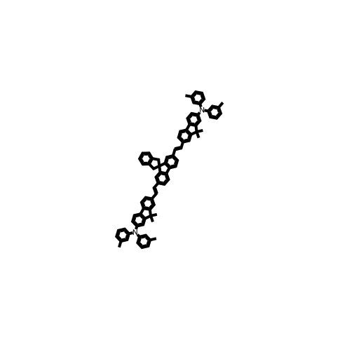 Cc1cccc(N(c2cccc(C)c2)c2ccc3c(c2)C(C)(C)c2cc(/C=C/c4ccc5c(c4)C4(Cc6ccccc6C4)c4cc(/C=C/c6ccc7c(c6)C(C)(C)c6cc(N(c8cccc(C)c8)c8cccc(C)c8)ccc6-7)ccc4-5)ccc2-3)c1